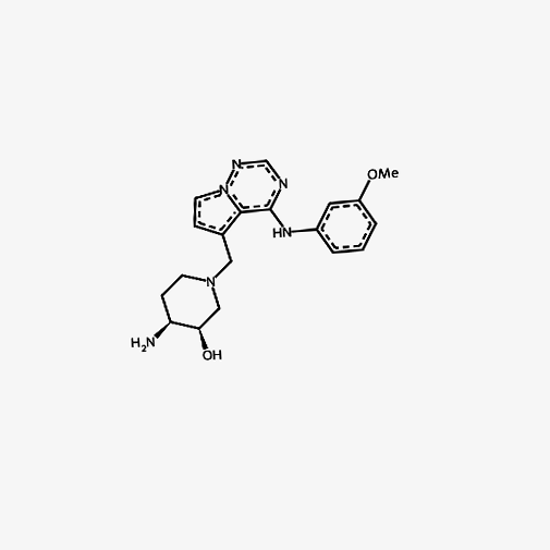 COc1cccc(Nc2ncnn3ccc(CN4CC[C@H](N)[C@H](O)C4)c23)c1